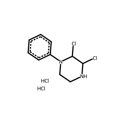 Cl.Cl.ClC1NCCN(c2ccccc2)C1Cl